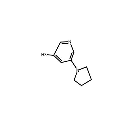 Sc1cncc(N2CCCC2)c1